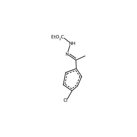 CCOC(=O)NN=C(C)c1ccc(Cl)cc1